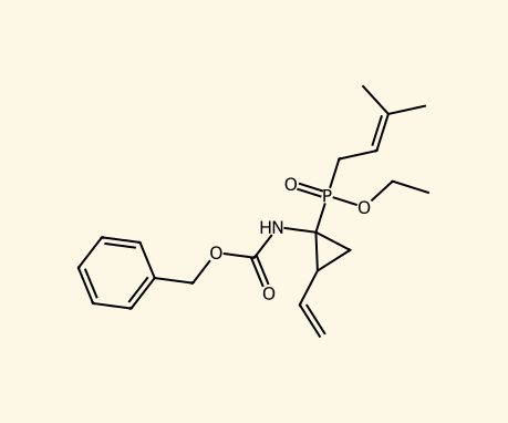 C=CC1CC1(NC(=O)OCc1ccccc1)P(=O)(CC=C(C)C)OCC